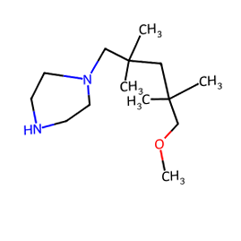 COCC(C)(C)CC(C)(C)CN1CCNCC1